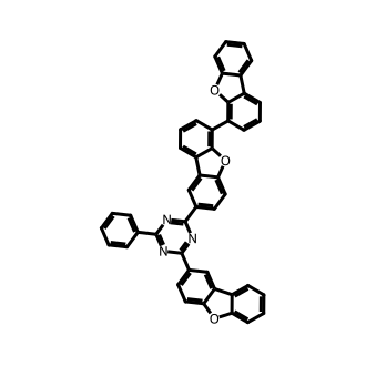 c1ccc(-c2nc(-c3ccc4oc5ccccc5c4c3)nc(-c3ccc4oc5c(-c6cccc7c6oc6ccccc67)cccc5c4c3)n2)cc1